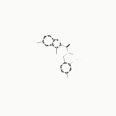 CCc1ccc(CN(C)C(=S)c2sc3ccc(Cl)cc3c2C)c(OC)c1